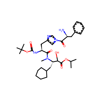 CC(C)OC(=O)C(O)[C@H](CC1CCCCC1)N(C)C(=O)[C@H](Cc1cn(C(=O)[C@@H](N)Cc2ccccc2)cn1)NC(=O)OC(C)(C)C